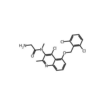 Cc1nc2cccc(OCc3c(Cl)cccc3Cl)c2c(Cl)c1N(C)C(=O)CN